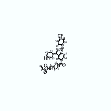 C=CS(=O)(=O)NC[C@H]1CCN(C(=O)c2ccc3c(c2)c(C2CCCNC2)cn3Cc2ccc(C(F)(F)F)cc2)C1